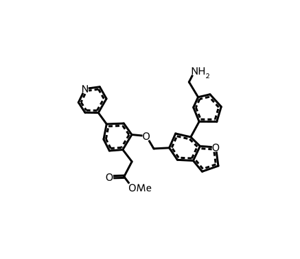 COC(=O)Cc1ccc(-c2ccncc2)cc1OCc1cc(-c2cccc(CN)c2)c2occc2c1